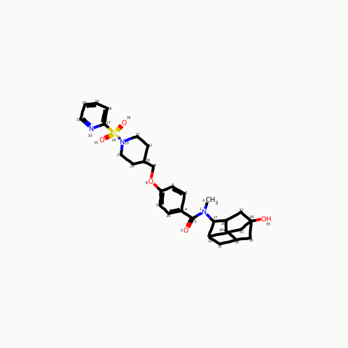 CN(C(=O)c1ccc(OCC2CCN(S(=O)(=O)c3ccccn3)CC2)cc1)C1C2CC3CC1CC(O)(C3)C2